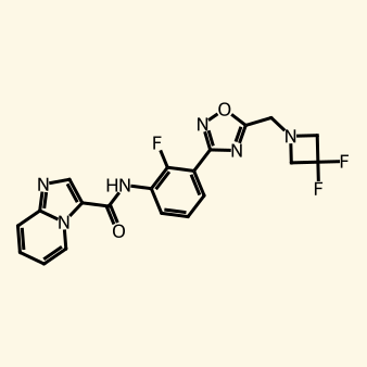 O=C(Nc1cccc(-c2noc(CN3CC(F)(F)C3)n2)c1F)c1cnc2ccccn12